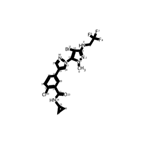 Cn1nc(NCC(F)(F)F)c(Br)c1-n1cc(-c2ccc(Cl)c(C(=O)NC3CC3)c2)cn1